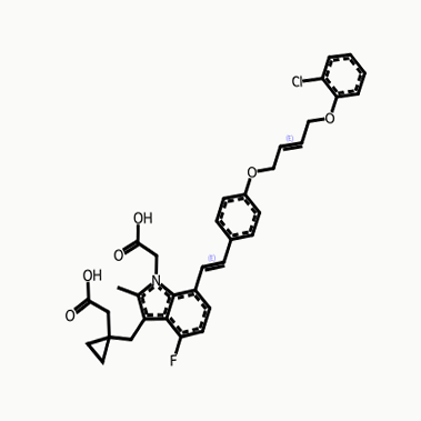 Cc1c(CC2(CC(=O)O)CC2)c2c(F)ccc(/C=C/c3ccc(OC/C=C/COc4ccccc4Cl)cc3)c2n1CC(=O)O